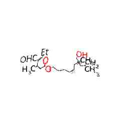 C=C(C)C[C@](C)(CO)C/C=C\CCCOC(=O)CC(C)C(C=O)=CCC